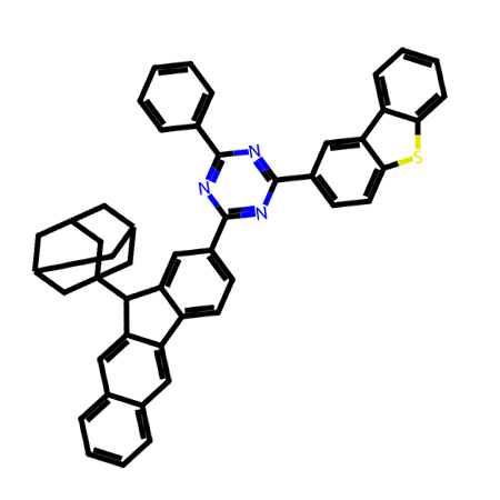 c1ccc(-c2nc(-c3ccc4c(c3)C(C35CC6CC(CC(C6)C3)C5)c3cc5ccccc5cc3-4)nc(-c3ccc4sc5ccccc5c4c3)n2)cc1